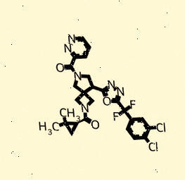 CC1(C)C[C@@H]1C(=O)N1CC2(CN(C(=O)c3cccnn3)CC2c2nnc(C(F)(F)c3ccc(Cl)c(Cl)c3)o2)C1